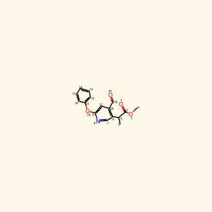 COC(=O)C(C)c1cnc(Oc2ccccc2)cc1[C]=O